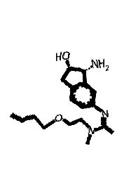 CCCCOCCN(C)C(C)=Nc1ccc2c(c1)[C@@H](N)[C@H](O)C2